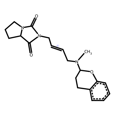 CN(C/C=C/CN1C(=O)C2CCCN2C1=O)C1CCc2ccccc2O1